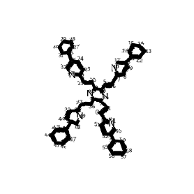 C(=Cc1nc(C=Cc2ccc(-c3ccccc3)cn2)c(C=Cc2ccc(-c3ccccc3)cn2)nc1C=Cc1ccc(-c2ccccc2)cn1)c1ccc(-c2ccccc2)cn1